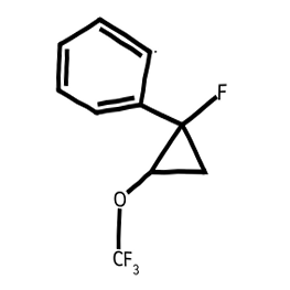 FC(F)(F)OC1CC1(F)c1[c]cccc1